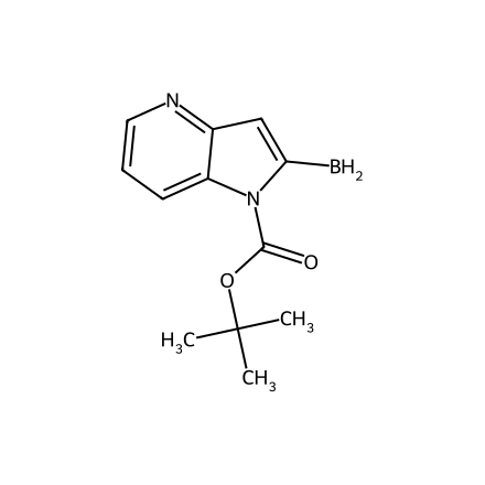 Bc1cc2ncccc2n1C(=O)OC(C)(C)C